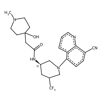 CN1CCC(O)(CC(=O)N[C@@H]2CC(C(F)(F)F)CN(c3ccc(C#N)c4ncccc34)C2)CC1